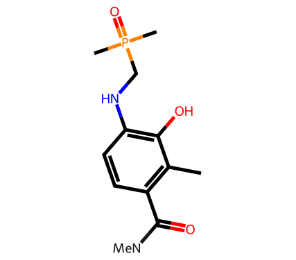 CNC(=O)c1ccc(NCP(C)(C)=O)c(O)c1C